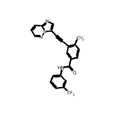 Cc1ccc(C(=O)Nc2cccc(C(F)(F)F)c2)cc1C#Cc1cnc2cccnn12